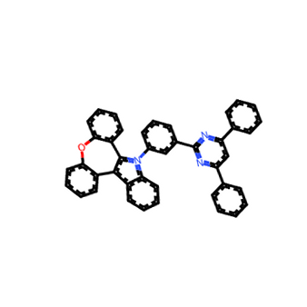 c1ccc(-c2cc(-c3ccccc3)nc(-c3cccc(-n4c5c(c6ccccc64)-c4ccccc4Oc4ccccc4-5)c3)n2)cc1